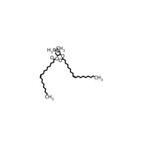 CCCCCCCC/C=C\CCCCCCCC(=O)OC1C[N+](C)(C)C[C@H]1OC(=O)CCCCCCC/C=C\CCCCCCCC